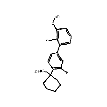 CCCOc1cccc(-c2ccc(C3(C=O)CCCCC3)c(F)c2)c1F